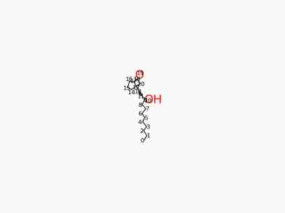 CCCCCCCCCC(O)C#CC12CCCC1C(=O)C2